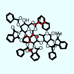 COC1OC(COC(=O)c2ccccc2)C(OC2OC(COC(=O)c3ccccc3)C(OC3OC(COC(=O)c4ccccc4)C(O)C(OC(=O)c4ccccc4)C3N3C(=O)c4ccccc4C3=O)C(OC(=O)c3ccccc3)C2N2C(=O)c3ccccc3C2=O)C(OC(=O)c2ccccc2)C1N1C(=O)c2ccccc2C1=O